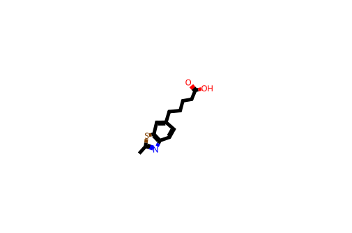 Cc1nc2ccc(CCCCC(=O)O)cc2s1